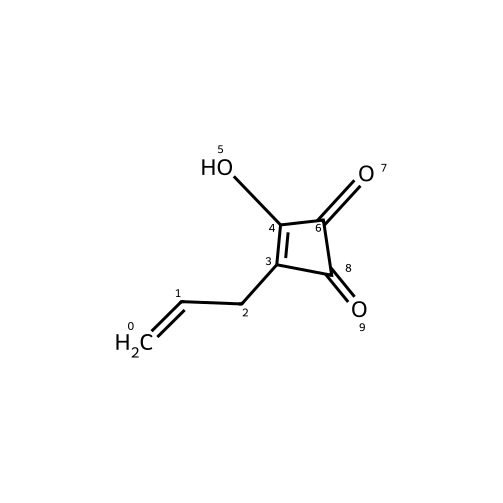 C=CCc1c(O)c(=O)c1=O